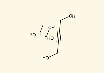 CS(=O)(=O)O.O=CO.OCC#CCO